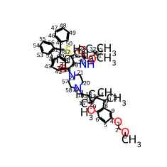 COCOc1ccc2c(c1)C(C)C(C)(C)C(C)(CCN1CCN(C(=O)[C@@H](NC(=O)OC(C)(C)C)C(C)(C)SC(c3ccccc3)(c3ccccc3)c3ccccc3)CC1)O2